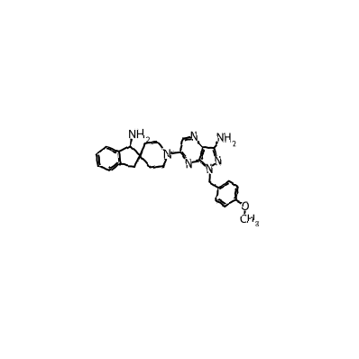 COc1ccc(Cn2nc(N)c3ncc(N4CCC5(CC4)Cc4ccccc4[C@H]5N)nc32)cc1